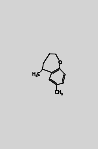 Cc1ccc2c(c1)C(C)CCCO2